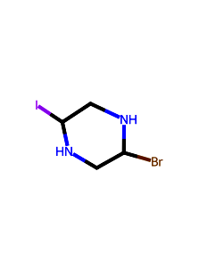 BrC1CNC(I)CN1